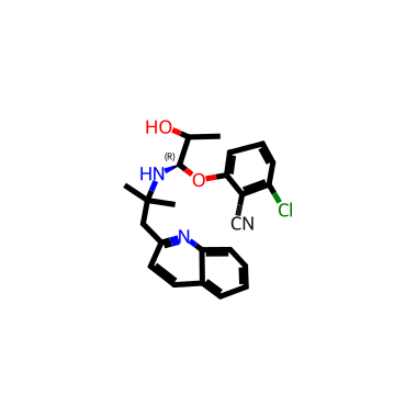 CC(O)[C@H](NC(C)(C)Cc1ccc2ccccc2n1)Oc1cccc(Cl)c1C#N